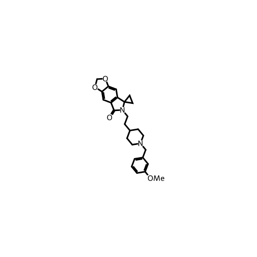 COc1cccc(CN2CCC(CCN3C(=O)c4cc5c(cc4C34CC4)OCO5)CC2)c1